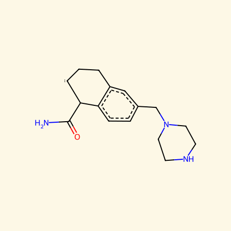 NC(=O)C1[C]CCc2cc(CN3CCNCC3)ccc21